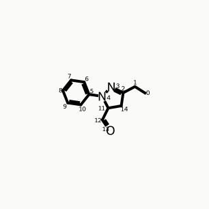 CCC1=NN(c2ccccc2)C(C=O)C1